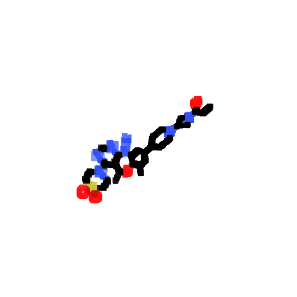 C=CC(=O)N1CC(N2CCC(c3cc(C)c4c(c3)Nc3ncnc(N5CCS(=O)(=O)CC5)c3[C@H](C)O4)CC2)C1